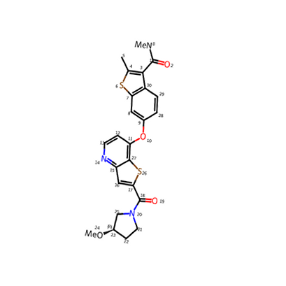 CNC(=O)c1c(C)sc2cc(Oc3ccnc4cc(C(=O)N5CC[C@@H](OC)C5)sc34)ccc12